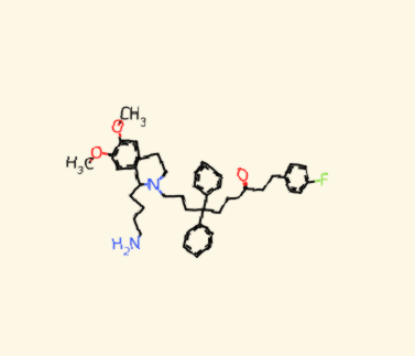 COc1cc2c(cc1OC)C(CCCCN)N(CCCC(CCCC(=O)CCc1ccc(F)cc1)(c1ccccc1)c1ccccc1)CC2